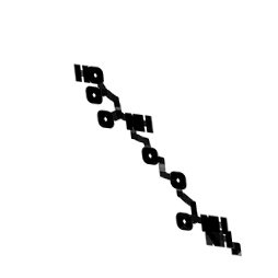 NNC(=O)CCOCCOCCNC(=O)CC(=O)O